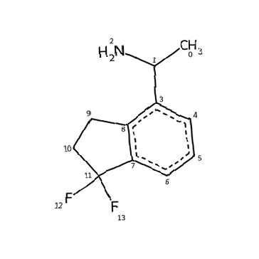 CC(N)c1cccc2c1CCC2(F)F